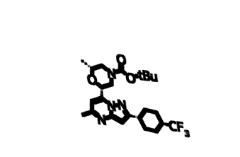 Cc1cc([C@H]2CN(C(=O)OC(C)(C)C)C[C@@H](C)O2)n2nc([C@H]3CC[C@H](C(F)(F)F)CC3)cc2n1